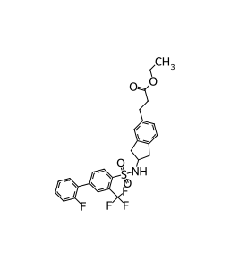 CCOC(=O)CCc1ccc2c(c1)CC(NS(=O)(=O)c1ccc(-c3ccccc3F)cc1C(F)(F)F)C2